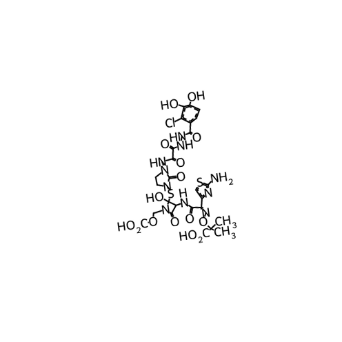 CC(C)(O/N=C(\C(=O)NC1C(=O)N(COC(=O)O)C1(O)SN1CCN(NC(=O)C(=O)NNC(=O)c2ccc(O)c(O)c2Cl)C1=O)c1csc(N)n1)C(=O)O